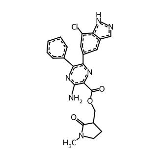 CN1CCC(COC(=O)c2nc(-c3cc(Cl)c4[nH]ncc4c3)c(-c3ccccc3)nc2N)C1=O